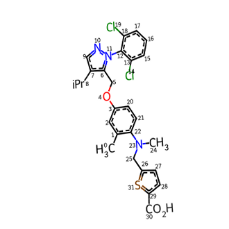 Cc1cc(OCc2c(C(C)C)cnn2-c2c(Cl)cccc2Cl)ccc1N(C)Cc1ccc(C(=O)O)s1